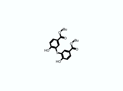 CCC(C)OC(=O)c1ccc(O)c(Sc2cc(C(=O)OC(C)CC)ccc2O)c1